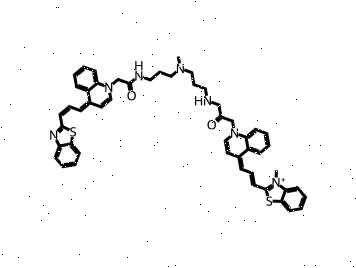 CN(CCCNCC(=O)CN1C=C/C(=C/C=C/c2sc3ccccc3[n+]2C)c2ccccc21)CCCNC(=O)CN1C=C/C(=C/C=C\c2nc3ccccc3s2)c2ccccc21